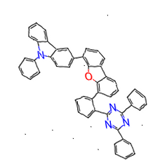 c1ccc(-c2nc(-c3ccccc3)nc(-c3ccccc3-c3cccc4c3oc3c(-c5ccc6c(c5)c5ccccc5n6-c5ccccc5)cccc34)n2)cc1